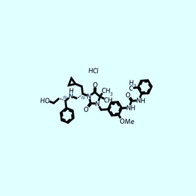 COc1cc(CN2C(=O)N([C@H](CN[C@@H](CCO)c3ccccc3)CC3CC3)C(=O)C2(C)C)ccc1NC(=O)Nc1ccccc1C.Cl